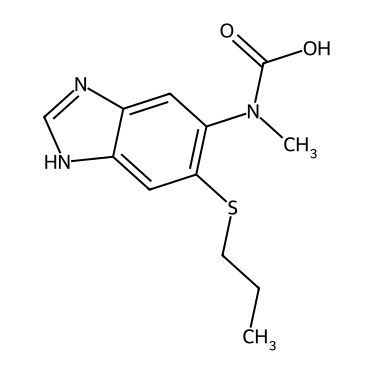 CCCSc1cc2[nH]cnc2cc1N(C)C(=O)O